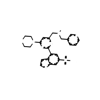 CN(Cc1cccnc1)Cc1cc(N2CCOCC2)nc(-c2cc(S(C)(=O)=O)cc3[nH]ccc23)n1